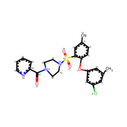 Cc1cc(Cl)cc(Oc2ccc(C#N)cc2S(=O)(=O)N2CCN(C(=O)c3ccccn3)CC2)c1